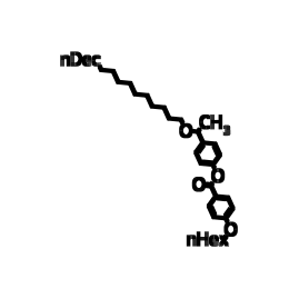 CCCCCCCCCCCCCCCCCCCCOC(C)c1ccc(OC(=O)c2ccc(OCCCCCC)cc2)cc1